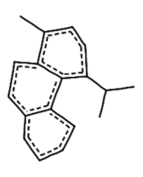 Cc1ccc(C(C)C)c2c1ccc1ccccc12